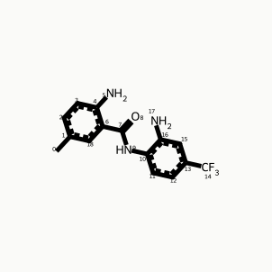 Cc1ccc(N)c(C(=O)Nc2ccc(C(F)(F)F)cc2N)c1